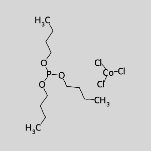 CCCCOP(OCCCC)OCCCC.[Cl][Co]([Cl])[Cl]